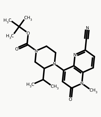 CC(C)C1CN(C(=O)OC(C)(C)C)CCN1c1cc(=O)n(C)c2ccc(C#N)nc12